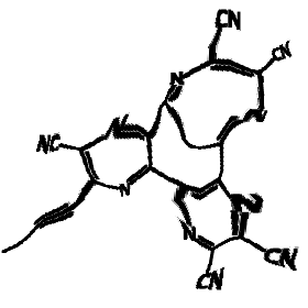 CC#Cc1nc2c(nc1C#N)C1=NC(C#N)=C(C#N)N=C(C1)c1nc(C#N)c(C#N)nc1-2